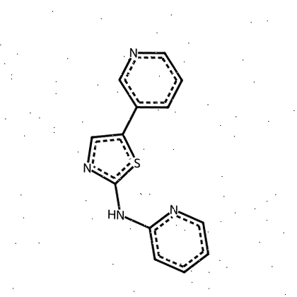 c1ccc(Nc2ncc(-c3cccnc3)s2)nc1